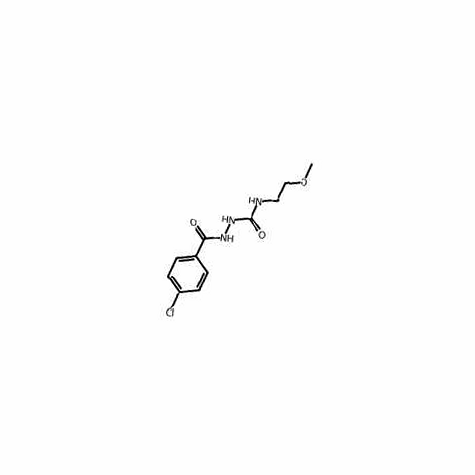 COCCNC(=O)NNC(=O)c1ccc(Cl)cc1